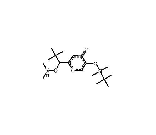 C[SiH](C)OC(c1cc(=O)c(O[Si](C)(C)C(C)(C)C)co1)C(C)(C)C